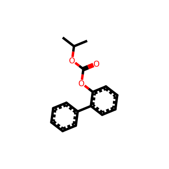 CC(C)OC(=O)Oc1ccccc1-c1ccccc1